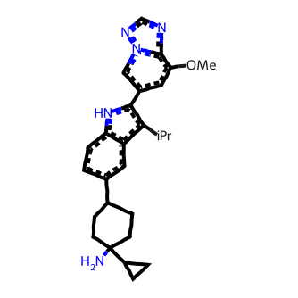 COc1cc(-c2[nH]c3ccc(C4CCC(N)(C5CC5)CC4)cc3c2C(C)C)cn2ncnc12